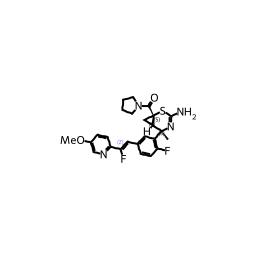 COc1ccc(/C(F)=C/c2ccc(F)c([C@@]3(C)N=C(N)S[C@@]4(C(=O)N5CCCC5)C[C@H]43)c2)nc1